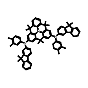 CC1=C(C)CCC(N(c2ccc3c(c2)C2=C(C=CCC2)C3(C)C)c2cc3c4c(c2)C(C)(C)c2cc(N(c5ccc(C)c(C)c5)c5ccc6c(c5)C(C)(C)c5ccccc5-6)cc5c2N4c2c(cccc2C5(C)C)C3(C)C)=C1